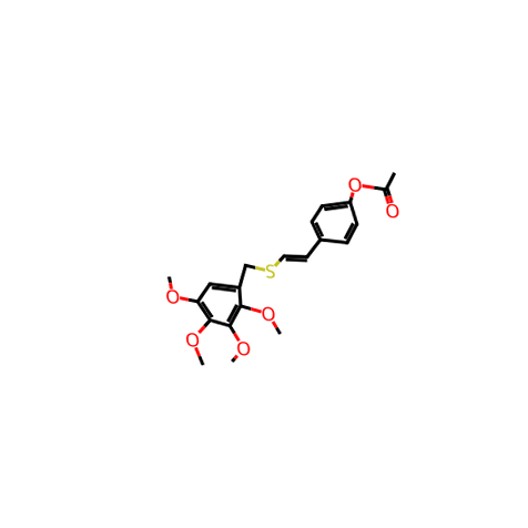 COc1cc(CSC=Cc2ccc(OC(C)=O)cc2)c(OC)c(OC)c1OC